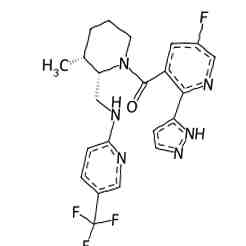 C[C@@H]1CCCN(C(=O)c2cc(F)cnc2-c2ccn[nH]2)[C@@H]1CNc1ccc(C(F)(F)F)cn1